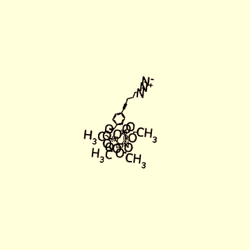 COC(=O)[C@H]1O[C@@H](Oc2cc(C#CCCCN=[N+]=[N-])ccc2C=O)[C@H](OC(C)=O)[C@@H](OC(C)=O)[C@@H]1OC(C)=O